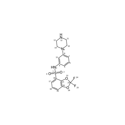 O=S(=O)(Nc1cccc(N2CCNCC2)c1)c1cccc2c1OC(F)(F)O2